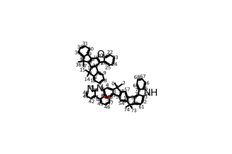 CC1(C)c2cc(N(c3ccc4c(c3)C(C)(C)c3c5c(c6oc7ccccc7c6c3-4)-c3ccccc3C5(C)C)c3ncccc3-c3ccccc3)ccc2-c2cc3c(cc21)-c1c(ccc2[nH]c4ccccc4c12)C3(C)C